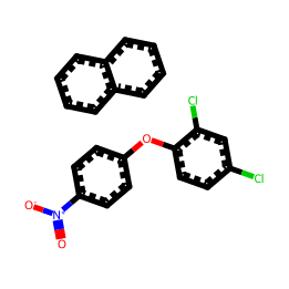 O=[N+]([O-])c1ccc(Oc2ccc(Cl)cc2Cl)cc1.c1ccc2ccccc2c1